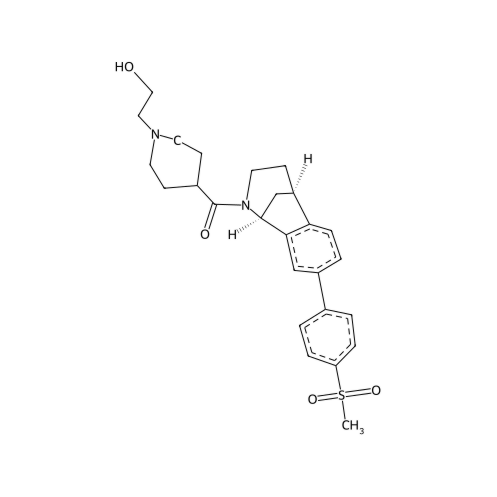 CS(=O)(=O)c1ccc(-c2ccc3c(c2)[C@@H]2C[C@H]3CCN2C(=O)C2CCN(CCO)CC2)cc1